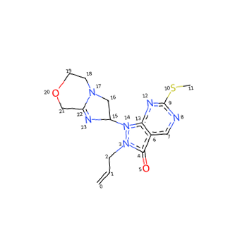 C=CCn1c(=O)c2cnc(SC)nc2n1C1CN2CCOCC2=N1